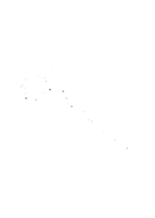 CC(C)CCCCCCCc1ccccc1C(=O)O